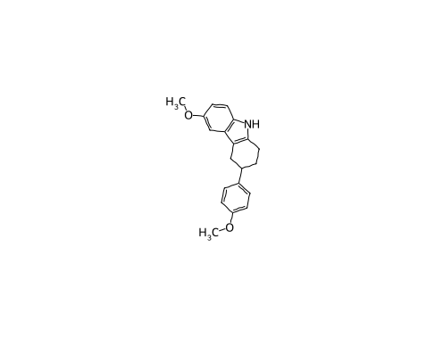 COc1ccc(C2CCc3[nH]c4ccc(OC)cc4c3C2)cc1